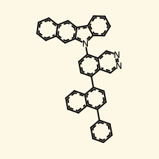 c1ccc(-c2ccc(-c3ccc(-n4c5ccccc5c5cc6ccccc6cc54)c4cnncc34)c3ccccc23)cc1